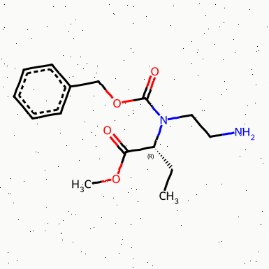 CC[C@H](C(=O)OC)N(CCN)C(=O)OCc1ccccc1